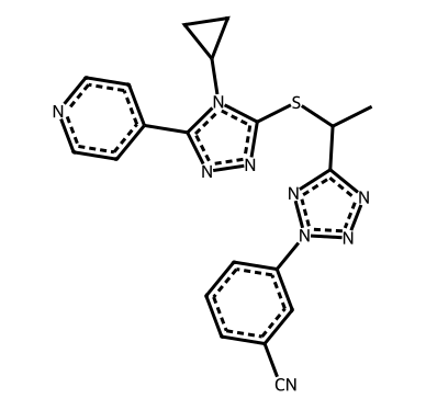 CC(Sc1nnc(-c2ccncc2)n1C1CC1)c1nnn(-c2cccc(C#N)c2)n1